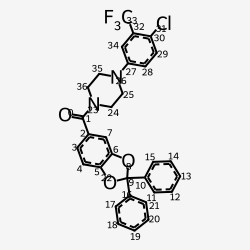 O=C(c1ccc2c(c1)OC(c1ccccc1)(c1ccccc1)O2)N1CCN(c2ccc(Cl)c(C(F)(F)F)c2)CC1